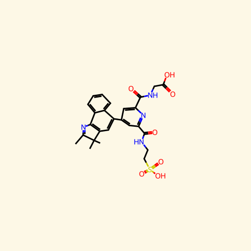 CC1=Nc2c(cc(-c3cc(C(=O)NCCS(=O)(=O)O)nc(C(=O)NCC(=O)O)c3)c3ccccc23)C1(C)C